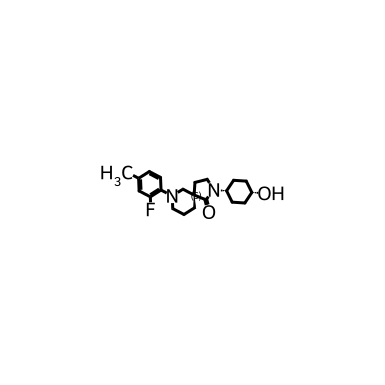 Cc1ccc(N2CCC[C@]3(CCN([C@H]4CC[C@@H](O)CC4)C3=O)C2)c(F)c1